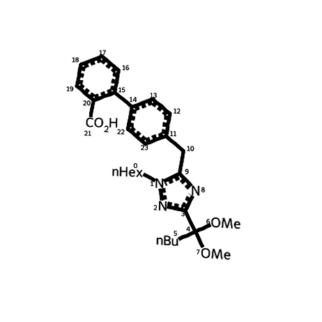 CCCCCCn1nc(C(CCCC)(OC)OC)nc1Cc1ccc(-c2ccccc2C(=O)O)cc1